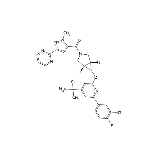 Cn1nc(-c2ncccn2)cc1C(=O)N1C[C@@H]2C(Oc3cc(C(C)(C)N)cc(-c4ccc(F)c(Cl)c4)n3)[C@@H]2C1